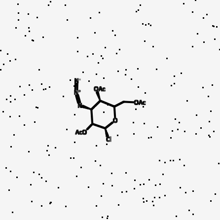 CC(=O)OCC1O[C@@H](Cl)C(OC(C)=O)[C@@H](N=[N+]=[N-])[C@H]1OC(C)=O